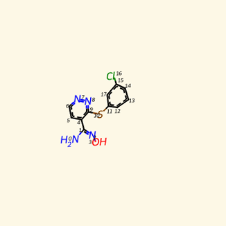 NC(=NO)c1ccnnc1Sc1cccc(Cl)c1